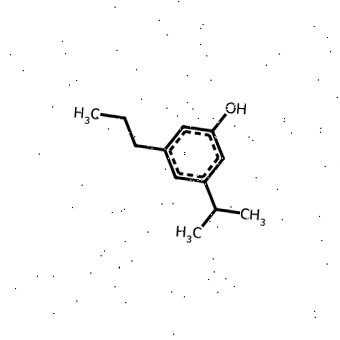 CCCc1cc(O)cc(C(C)C)c1